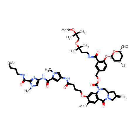 C=C1CC2CN(C(=O)OCc3ccc(O[C@H]4C[C@@H](CC)C[C@@H](C=O)O4)c(C(=O)NCCC(C)(C)OCC(C)(C)ONC)c3)c3cc(OCCCC(=O)Nc4cc(C(=O)Nc5cn(C)c(C(=O)NCCCOC)n5)n(C)c4)c(OC)cc3C(=O)N2C1